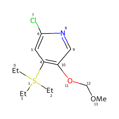 CCS(CC)(CC)c1cc(Cl)ncc1OCOC